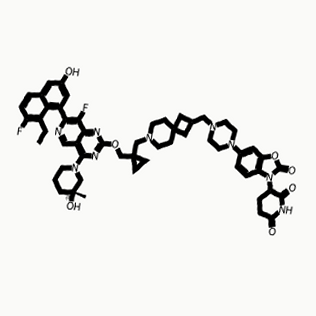 CCc1c(F)ccc2cc(O)cc(-c3ncc4c(N5CCC[C@@](C)(O)C5)nc(OCC5(CN6CCC7(CC6)CC(CN6CCN(c8ccc9c(c8)oc(=O)n9C8CCC(=O)NC8=O)CC6)C7)CC5)nc4c3F)c12